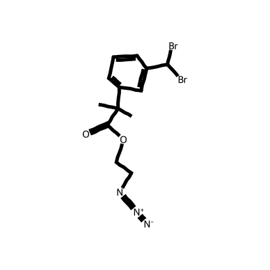 CC(C)(C(=O)OCCN=[N+]=[N-])c1cccc(C(Br)Br)c1